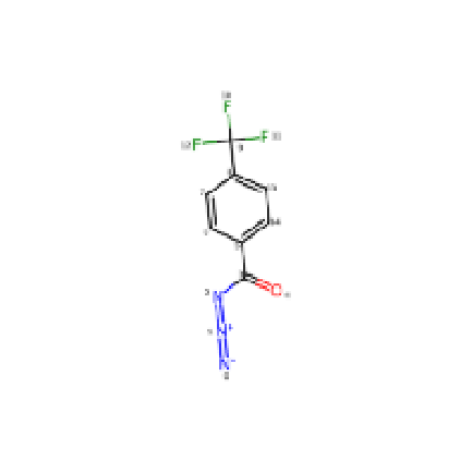 [N-]=[N+]=NC(=O)c1ccc(C(F)(F)F)cc1